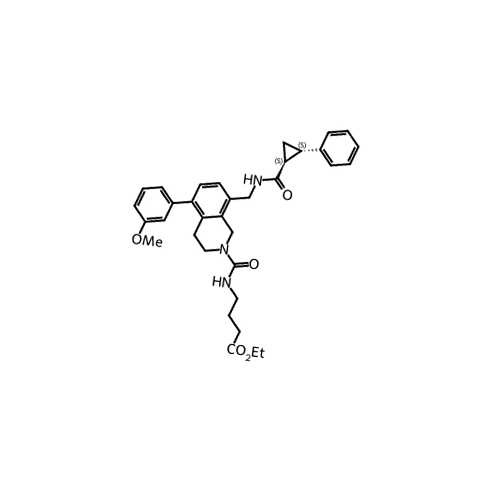 CCOC(=O)CCCNC(=O)N1CCc2c(-c3cccc(OC)c3)ccc(CNC(=O)[C@H]3C[C@@H]3c3ccccc3)c2C1